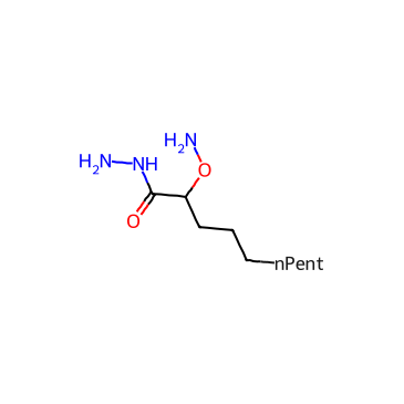 CCCCCCCCC(ON)C(=O)NN